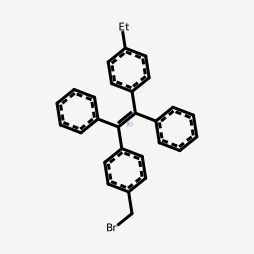 CCc1ccc(/C(=C(\c2ccccc2)c2ccc(CBr)cc2)c2ccccc2)cc1